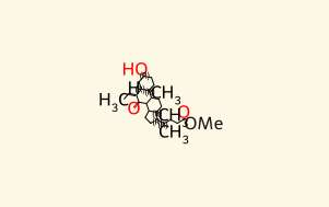 CC=C1C(=O)C2C3CC[C@H]([C@H](C)CCC(=O)OC)[C@@]3(C)CCC2[C@@]2(C)CC[C@@H](O)C[C@@H]12